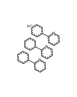 [In+3].c1ccc(-c2ccccn2)cc1.c1ccc(-c2ccccn2)cc1.c1ccc(-c2ccccn2)cc1